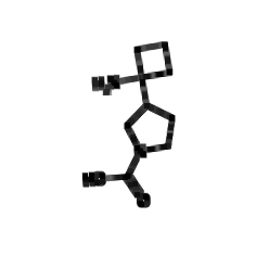 NC1(C2CCN(C(=O)O)C2)CCC1